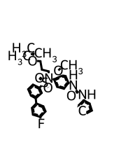 COc1cc(NC(=O)Nc2ccccc2)ccc1N(CCCOC(C)(C)C)S(=O)(=O)c1cccc(-c2ccc(F)cc2)c1